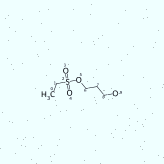 CCS(=O)(=O)OCCC[O]